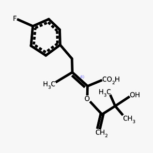 C=C(O/C(C(=O)O)=C(\C)Cc1ccc(F)cc1)C(C)(C)O